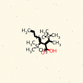 C=CCC=C(C(C(=O)O)=C(C)[Si](C)(C)C)[Si](C)(C)C